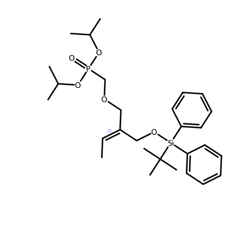 C/C=C(/COCP(=O)(OC(C)C)OC(C)C)CO[Si](c1ccccc1)(c1ccccc1)C(C)(C)C